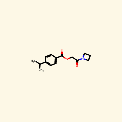 CC(C)c1ccc(C(=O)OCC(=O)N2CCC2)cc1